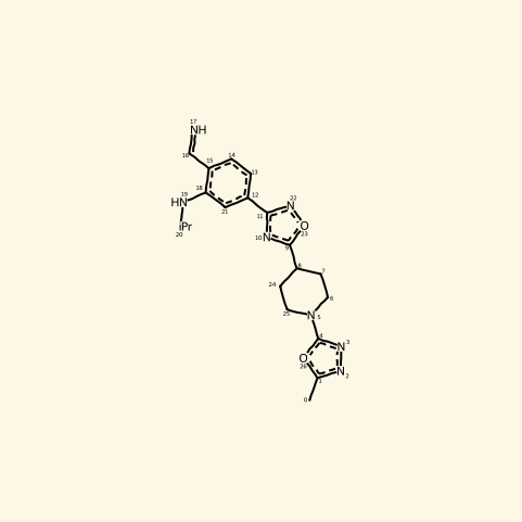 Cc1nnc(N2CCC(c3nc(-c4ccc(C=N)c(NC(C)C)c4)no3)CC2)o1